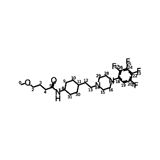 COCCCC(=O)NC1CCC(CCN2CCN(c3cc(F)c(F)c(F)c3F)CC2)CC1